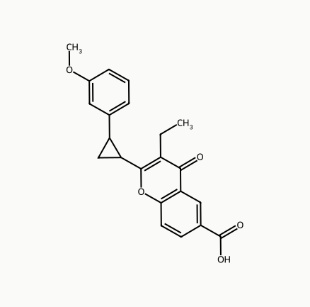 CCc1c(C2CC2c2cccc(OC)c2)oc2ccc(C(=O)O)cc2c1=O